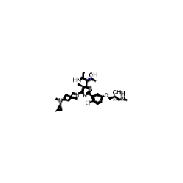 CNC[C@@H](O)COc1ccc(Cl)c(-c2nc(/C(C(C)=N)=C(\C)O)c(C)c(N3CC4(CC(N(C)C5CC5)C4)C3)n2)c1